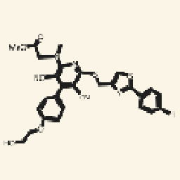 COC(=O)CN(C)c1nc(SCc2csc(-c3ccc(Cl)cc3)n2)c(C#N)c(-c2ccc(OCCO)cc2)c1C#N